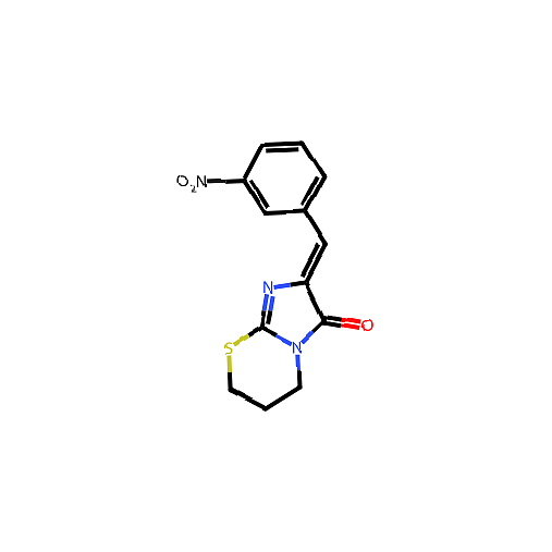 O=C1C(=Cc2cccc([N+](=O)[O-])c2)N=C2SCCCN12